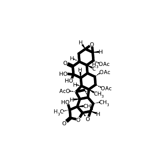 CC(=O)O[C@H]1C2[C@H]([C@@H]3[C@@]4(OC(C)=O)C[C@@]5([C@H](C)[C@@H]6O[C@@]67OC(=O)[C@@](C)(O)[C@]7(C)[C@H]45)[C@@]3(C)[C@H]1OC(C)=O)C(O)(O)C(=O)[C@H]1C[C@@H]3O[C@@H]3[C@H](OC(C)=O)[C@]21C